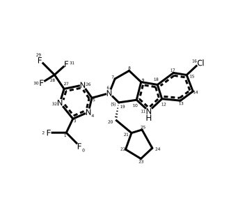 FC(F)c1nc(N2CCc3c([nH]c4ccc(Cl)cc34)[C@@H]2CC2CCCC2)nc(C(F)(F)F)n1